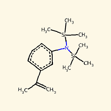 C=C(C)c1cccc(N([Si](C)(C)C)[Si](C)(C)C)c1